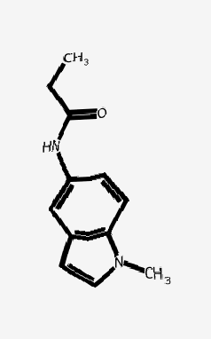 CCC(=O)Nc1ccc2c(ccn2C)c1